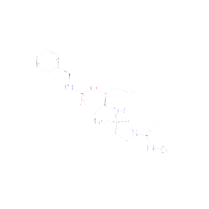 CCNC(=O)N1CCC(C#N)(NC(=O)C(CC(C)C)OC(=O)NCc2ccccc2)C1